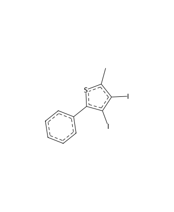 Cc1sc(-c2ccccc2)c(I)c1I